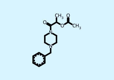 CC(=O)OC(C)C(=O)N1CCN(Cc2ccccc2)CC1